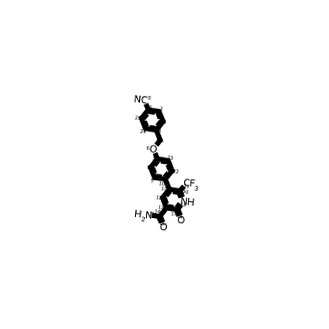 N#Cc1ccc(COc2ccc(-c3cc(C(N)=O)c(=O)[nH]c3C(F)(F)F)cc2)cc1